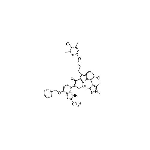 Cc1cc(OCCCc2c3n(c4c(-c5c(C)nn(C)c5C)c(Cl)ccc24)[C@H](C)CN(c2ccc(OCc4ccccc4)c4cc(C(=O)O)[nH]c24)C3=O)cc(C)c1Cl